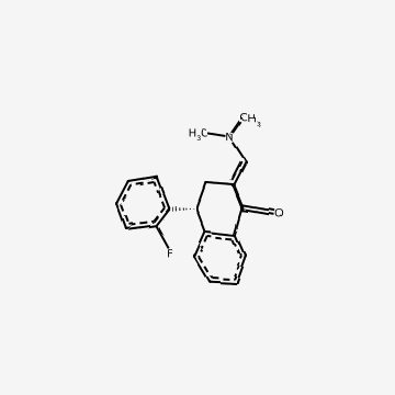 CN(C)/C=C1\C[C@@H](c2ccccc2F)c2ccccc2C1=O